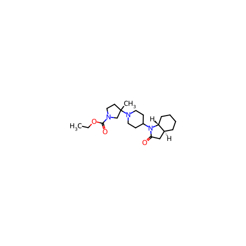 CCOC(=O)N1CCC(C)(N2CCC(N3C(=O)C[C@@H]4CCCC[C@H]43)CC2)C1